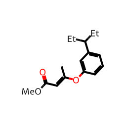 CCC(CC)c1cccc(O/C(C)=C/C(=O)OC)c1